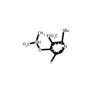 CCOC(=O)c1c(C(C)(C)C)ncc(I)c1O[SiH](C)C